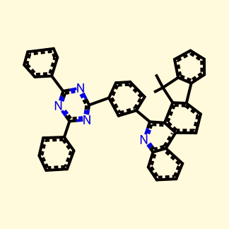 CC1(C)c2ccccc2-c2ccc3c(c(-c4cccc(-c5nc(-c6ccccc6)nc(-c6ccccc6)n5)c4)nc4ccccc43)c21